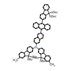 CCCCCCCCCCC1(CCCCCCCCCC)c2ccccc2-c2ccc(-c3c4ccccc4c(-c4ccc5cc(N(c6ccc7c(c6)C(CCCC)(CCCC)c6cc(C)ccc6-7)c6ccc7c(c6)C(CCCC)(CCCC)c6cc(C)ccc6-7)ccc5c4)c4ccccc34)cc21